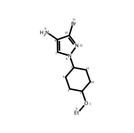 CCOC1CCC(n2cc(N)c(Br)n2)CC1